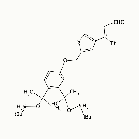 CCC(=CC=O)c1csc(COc2ccc(C(C)(C)O[SiH2]C(C)(C)C)c(C(C)(C)O[SiH2]C(C)(C)C)c2)c1